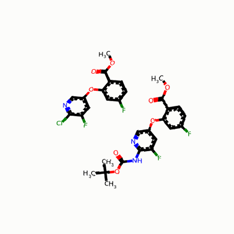 COC(=O)c1ccc(F)cc1Oc1cnc(Cl)c(F)c1.COC(=O)c1ccc(F)cc1Oc1cnc(NC(=O)OC(C)(C)C)c(F)c1